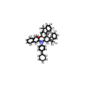 CC1(C)C2=CC3(C)C4=C(C2(C)c2ccccc21)C1(C)C(=CC4(C)N(c2ccc(C4CCCCC4)cc2)c2cc4ccccc4cc23)C(C)(C)c2ccccc21